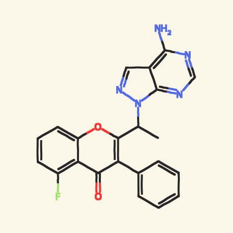 CC(c1oc2cccc(F)c2c(=O)c1-c1ccccc1)n1ncc2c(N)ncnc21